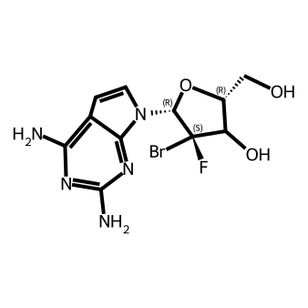 Nc1nc(N)c2ccn([C@@H]3O[C@H](CO)C(O)[C@]3(F)Br)c2n1